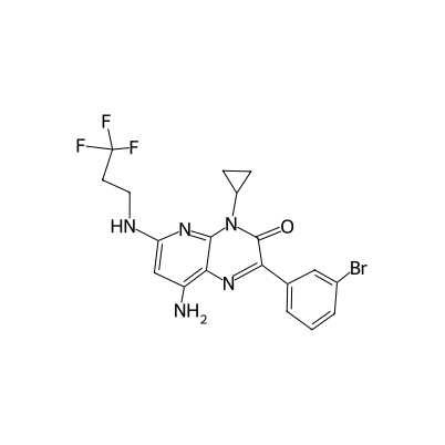 Nc1cc(NCCC(F)(F)F)nc2c1nc(-c1cccc(Br)c1)c(=O)n2C1CC1